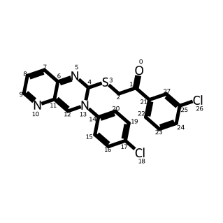 O=C(CSC1N=c2cccnc2=CN1c1ccc(Cl)cc1)c1cccc(Cl)c1